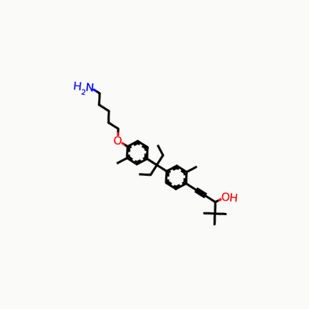 CCC(CC)(c1ccc(C#CC(O)C(C)(C)C)c(C)c1)c1ccc(OCCCCCN)c(C)c1